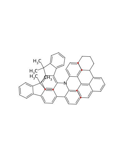 CC1(C)c2ccccc2-c2ccc(-c3ccccc3N(c3ccccc3-c3cccc4cccc(C5CCCCC5)c34)c3cccc4c3-c3ccccc3C4(C)C)cc21